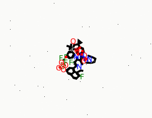 CCc1c(F)ccc2cc(OS(=O)(=O)OC(F)(F)F)cc(-c3ncc4c(N5CC6CCC(C5)N6C(=O)OC(C)(C)C)nc(OCC5(C(=O)[Si](c6ccccc6)(c6ccccc6)C(C)(C)C)CC5)nc4c3F)c12